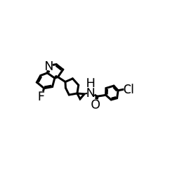 O=C(N[C@H]1CC12CCC(c1ccnc3ccc(F)cc13)CC2)c1ccc(Cl)cc1